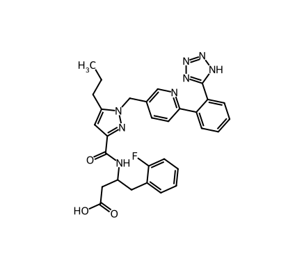 CCCc1cc(C(=O)NC(CC(=O)O)Cc2ccccc2F)nn1Cc1ccc(-c2ccccc2-c2nnn[nH]2)nc1